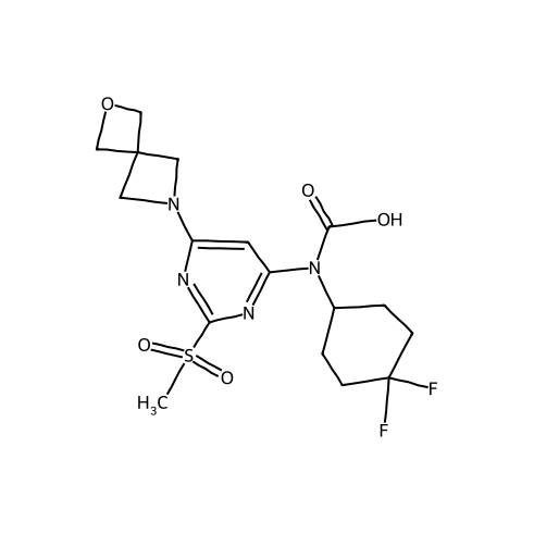 CS(=O)(=O)c1nc(N2CC3(COC3)C2)cc(N(C(=O)O)C2CCC(F)(F)CC2)n1